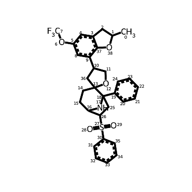 CC1Cc2cc(OC(F)(F)F)cc(C3COC4(CCC5NC4(c4ccccc4)CC5S(=O)(=O)c4ccccc4)C3)c2O1